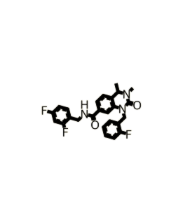 CC1c2ccc(C(=O)NCc3ccc(F)cc3F)cc2N(Cc2ccccc2F)C(=O)N1C